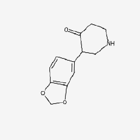 O=C1CCNCC1c1ccc2c(c1)OCO2